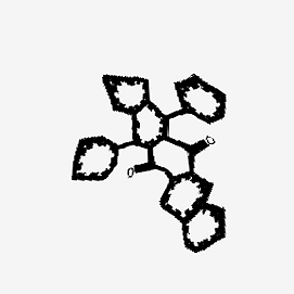 O=C1c2cc3ccccc3cc2C(=O)c2c1c(-c1ccccc1)c1ccccc1c2-c1ccccc1